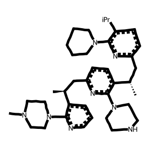 CC(C)c1ccc(C[C@H](C)c2ccc(C[C@H](C)c3cccnc3N3CCN(C)CC3)nc2N2CCNCC2)nc1N1CCCCC1